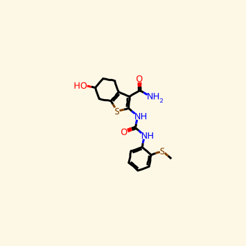 CSc1ccccc1NC(=O)Nc1sc2c(c1C(N)=O)CCC(O)C2